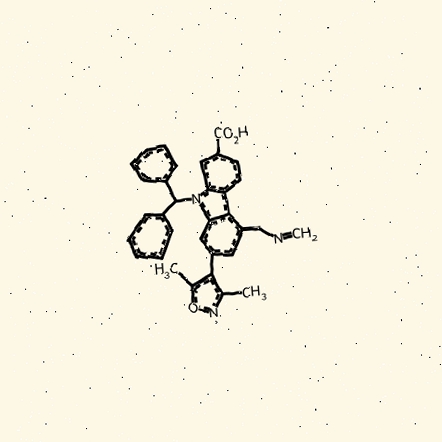 C=NCc1cc(-c2c(C)noc2C)cc2c1c1ccc(C(=O)O)cc1n2C(c1ccccc1)c1ccccc1